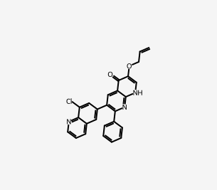 C=CCOc1c[nH]c2nc(-c3ccccc3)c(-c3cc(Cl)c4ncccc4c3)cc2c1=O